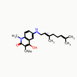 COc1c(O)c2cc(NC/C=C(\C)CCC=C(C)C)ccc2n(C)c1=O